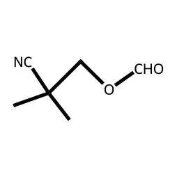 CC(C)(C#N)COC=O